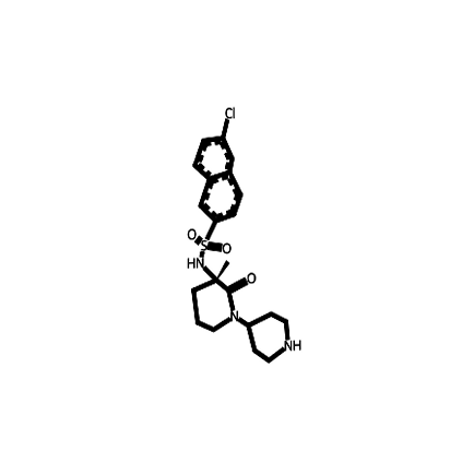 C[C@]1(NS(=O)(=O)c2ccc3cc(Cl)ccc3c2)CCCN(C2CCNCC2)C1=O